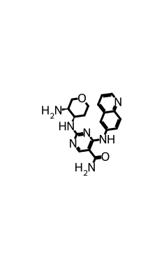 NC(=O)c1cnc(N[C@@H]2CCOC[C@@H]2N)nc1Nc1ccc2ncccc2c1